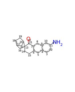 Nc1ccc2cc3c(cc2c1)C(=O)C1(CC3)CC2=CCC1C2